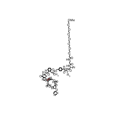 COCCOCCOCCOCCOCCOCCOCCOCCC(=O)NCCC(=O)N[C@H](C(=O)N[C@@H](C)C(=O)Nc1ccc(COC(=O)N(C)Cc2ccccc2C(=O)Nc2nc3c(ncn3[C@@H]3O[C@@H]4CO[PH](=O)O[C@H]5C[C@H](Oc6ccncn6)C[C@@H]5CO[PH](=O)O[C@@H]3[C@@H]4O)c(=O)[nH]2)cc1)C(C)C